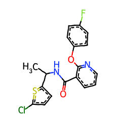 CC(NC(=O)c1cccnc1Oc1ccc(F)cc1)c1ccc(Cl)s1